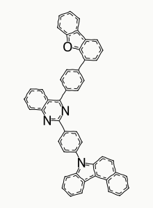 c1ccc2c(c1)ccc1c2c2ccccc2n1-c1ccc(-c2nc(-c3ccc(-c4cccc5c4oc4ccccc45)cc3)c3ccccc3n2)cc1